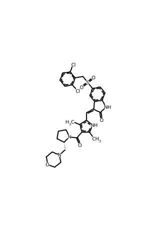 Cc1[nH]c(/C=C2\C(=O)Nc3ccc(S(=O)(=O)Cc4c(Cl)cccc4Cl)cc32)c(C)c1C(=O)N1CCC[C@H]1CN1CCOCC1